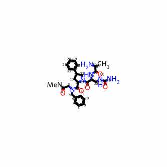 CNC(=O)CN(Cc1ccccc1)C(=O)C1CC(c2ccccc2)CN1C(=O)C(CNC(N)=O)NC(=O)C(C)N